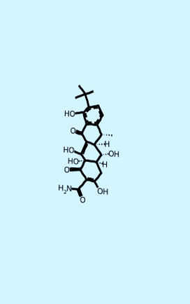 C[C@H]1c2ccc(C(C)(C)C)c(O)c2C(=O)C2=C(O)[C@]3(O)C(=O)C(C(N)=O)=C(O)C[C@@H]3[C@@H](O)[C@@H]21